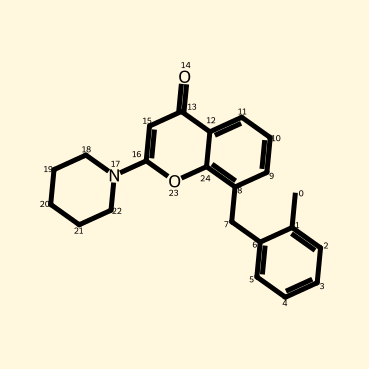 Cc1ccccc1Cc1cccc2c(=O)cc(N3CCCCC3)oc12